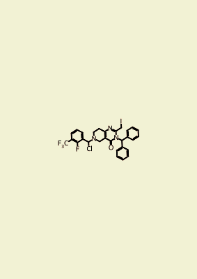 O=c1c2c(nc(CI)n1C(c1ccccc1)c1ccccc1)CCN(C(Cl)c1cccc(C(F)(F)F)c1F)C2